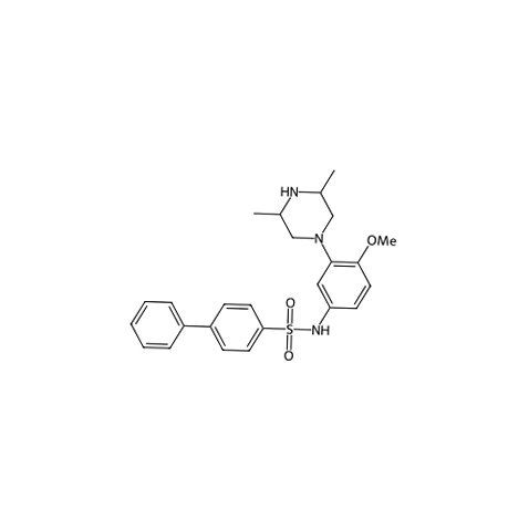 COc1ccc(NS(=O)(=O)c2ccc(-c3ccccc3)cc2)cc1N1CC(C)NC(C)C1